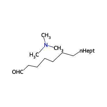 CCCCCCCCCCCCCC=O.CN(C)C